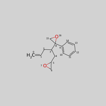 C=CC[C](CC1CO1)C1(c2ccccc2)CO1